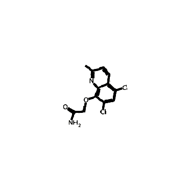 Cc1ccc2c(Cl)cc(Cl)c(OCC(N)=O)c2n1